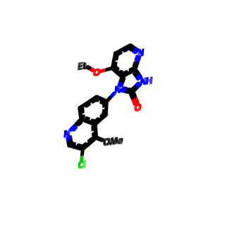 CCOc1ccnc2[nH]c(=O)n(-c3ccc4ncc(Cl)c(OC)c4c3)c12